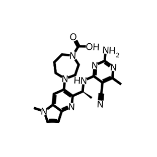 Cc1nc(N)nc(N[C@@H](C)c2nc3ccn(C)c3cc2N2CCCN(C(=O)O)CC2)c1C#N